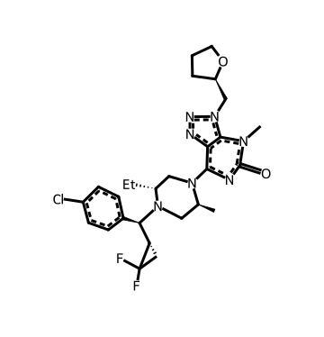 CC[C@@H]1CN(c2nc(=O)n(C)c3c2nnn3C[C@H]2CCCO2)[C@@H](C)CN1[C@H](c1ccc(Cl)cc1)[C@@H]1CC1(F)F